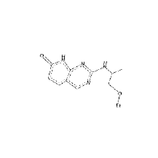 CCOCC(C)Nc1ncc2ccc(=O)[nH]c2n1